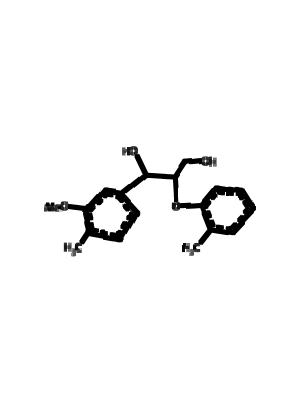 COc1cc(C(O)C(CO)Oc2ccccc2C)ccc1C